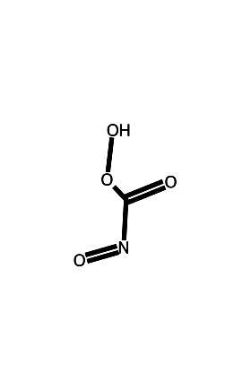 O=NC(=O)OO